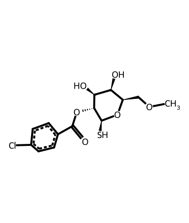 COC[C@H]1O[C@@H](S)[C@H](OC(=O)c2ccc(Cl)cc2)[C@@H](O)[C@H]1O